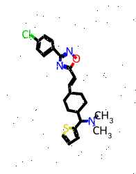 CN(C)C(c1cccs1)C1CCC(/C=C/c2nc(-c3ccc(Cl)cc3)no2)CC1